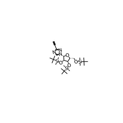 C#Cc1ncn([C@@H]2O[C@H](CO[Si](C)(C)C(C)(C)C)[C@@H](O[Si](C)(C)C(C)(C)C)[C@H]2O[Si](C)(C)C(C)(C)C)n1